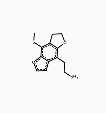 CSc1c2c(c(CCN)c3ccoc13)OCC2